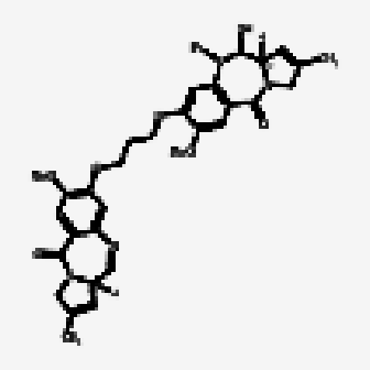 COc1cc2c(cc1OCCCOc1cc3c(cc1OC)C(=O)N1CC(C)=C[C@H]1C(O)N3C(C)C)N=C[C@@H]1C=C(C)CN1C2=O